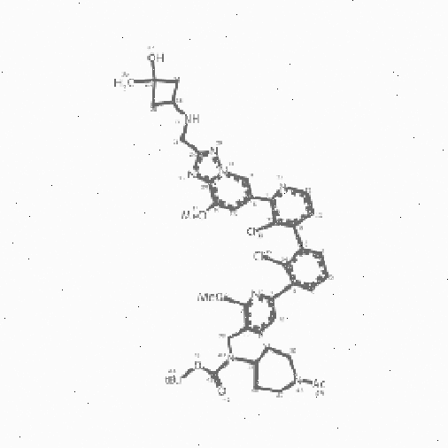 COc1nc(-c2cccc(-c3ccnc(-c4cc(OC)c5nc(CNC6CC(C)(O)C6)nn5c4)c3Cl)c2Cl)ccc1CN(C(=O)OC(C)(C)C)C1CCN(C(C)=O)CC1